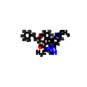 CN1C(=N)N[C@](C)(c2ccc3cn(C)nc3c2)C(C(CC(=O)/C=C/c2ccccc2)c2ccccc2)C1=O